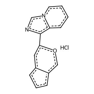 Cl.c1cc2coc(-c3ncn4ccccc34)cc-2c1